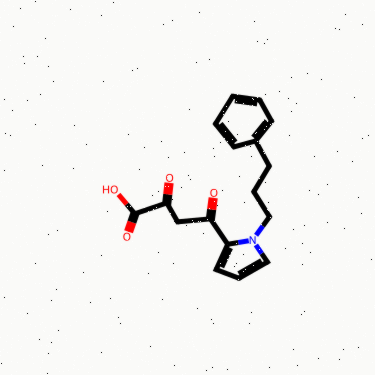 O=C(O)C(=O)CC(=O)c1cccn1CCCc1ccccc1